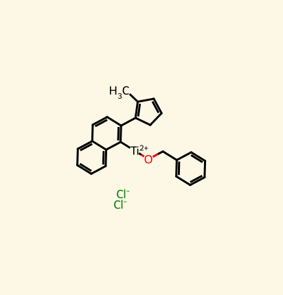 CC1=C(c2ccc3ccccc3[c]2[Ti+2][O]Cc2ccccc2)CC=C1.[Cl-].[Cl-]